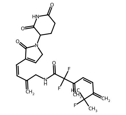 C=C(/C=C\C1=CCN(C2CCC(=O)NC2=O)C1=O)CNC(=O)C(F)(F)C(=C)/C=C\C(=C)C(C)(C)F